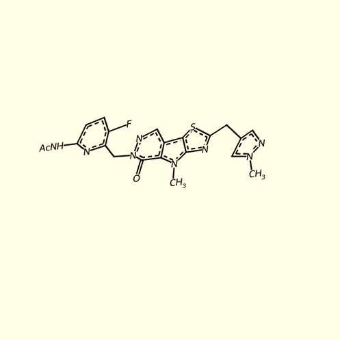 CC(=O)Nc1ccc(F)c(Cn2ncc3c4sc(Cc5cnn(C)c5)nc4n(C)c3c2=O)n1